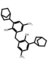 Cc1cc(Cc2cc(C)cc(C3CC4CCC3C4)c2O)c(O)c(C2CC3CCC2C3)c1